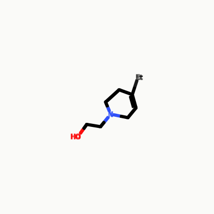 CCC1=CCN(CCO)CC1